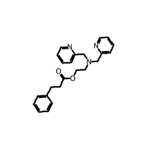 O=C(CCc1ccccc1)OCCN(Cc1ccccn1)Cc1ccccn1